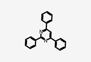 c1ccc(-c2cc(-c3ccccc3)nc(-c3ccccc3)n2)cc1